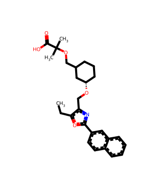 CCc1oc(-c2ccc3ccccc3c2)nc1CO[C@H]1CCCC(COC(C)(C)C(=O)O)C1